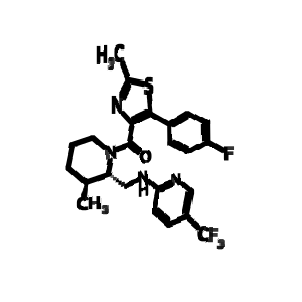 Cc1nc(C(=O)N2CCC[C@H](C)[C@H]2CNc2ccc(C(F)(F)F)cn2)c(-c2ccc(F)cc2)s1